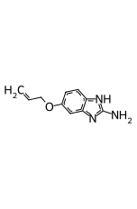 C=CCOc1ccc2[nH]c(N)nc2c1